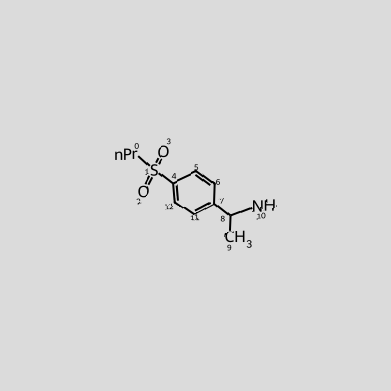 CCCS(=O)(=O)c1ccc(C(C)[NH])cc1